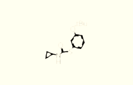 CC(C)(C)Oc1cccc(SC(=O)NC2CC2)c1